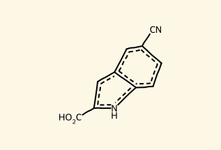 N#Cc1ccc2[nH]c(C(=O)O)cc2c1